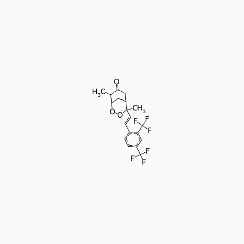 CC1C(=O)CC2CC1OOC2(C)C=Cc1ccc(C(F)(F)F)cc1C(F)(F)F